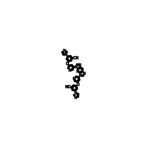 N#Cc1cc(Oc2cncc(-n3cnc4cc5ncn(-c6cncc(Oc7cc(C#N)cc(-n8ccnc8)c7)c6)c5nc43)c2)cc(-n2ccnc2)c1